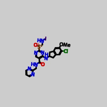 COc1cc2c(cc1Cl)CC(Nc1nc([S+]([O-])CNI)ncc1C(=O)NCc1ncccn1)C2